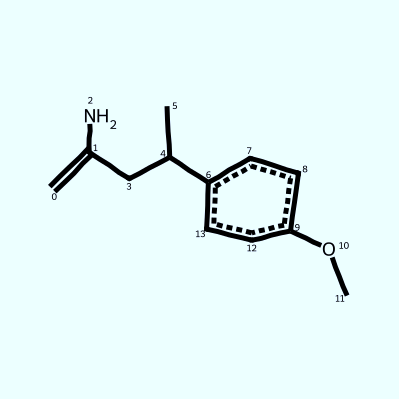 C=C(N)CC(C)c1ccc(OC)cc1